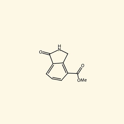 COC(=O)c1cccc2c1CNC2=O